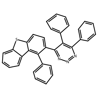 c1ccc(-c2nnnc(-c3ccc4sc5ccccc5c4c3-c3ccccc3)c2-c2ccccc2)cc1